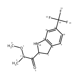 CON(C)C(=O)C1Cc2ccc(C(F)(F)F)cc2N1